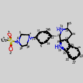 CCS(=O)(=O)N1CCN(c2ccc([C@@H]3N[C@@H](C)Cc4c3[nH]c3ccccc43)cc2)CC1